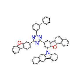 c1ccc(-c2cccc(-c3nc(-c4ccc5c(c4)oc4ccccc45)nc(-c4cc(-n5c6ccccc6c6cc7ccccc7cc65)c5oc6c7ccccc7ccc6c5c4)n3)c2)cc1